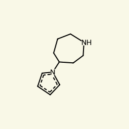 c1ccn(C2CCCNCC2)c1